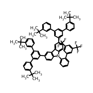 CC(C)(C)c1cccc(-c2cc(-c3cccc(C(C)(C)C)c3)cc(-c3ccc4c(c3)c3cc(-c5cc(-c6cccc(C(C)(C)C)c6)cc(-c6cccc(C(C)(C)C)c6)c5)ccc3n4-c3ccccc3-c3cc(C(F)(F)F)cc(C(F)(F)F)c3)c2)c1